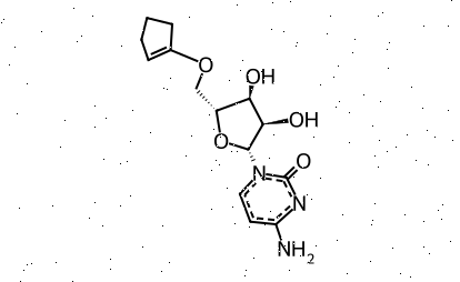 Nc1ccn([C@@H]2O[C@H](COC3=CCCC3)[C@@H](O)[C@H]2O)c(=O)n1